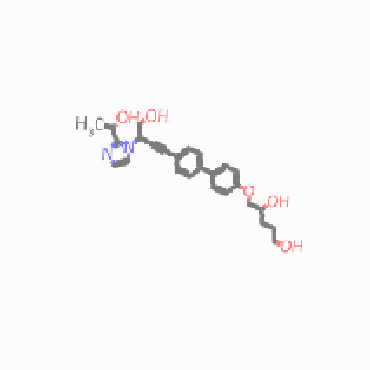 CC(O)c1nccn1C(C#Cc1ccc(-c2ccc(OCC(O)CCCO)cc2)cc1)CO